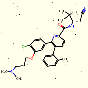 Cc1ccccc1-c1ccc(C(=O)N[C@@H](CC#N)C(C)(C)C)nc1-c1ccc(Cl)c(OCCCN(C)C)c1